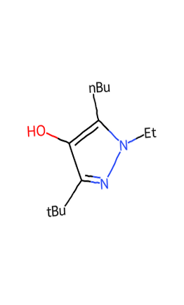 CCCCc1c(O)c(C(C)(C)C)nn1CC